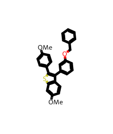 COc1ccc(-c2sc3cc(OC)ccc3c2-c2cccc(OCc3ccccc3)c2)cc1